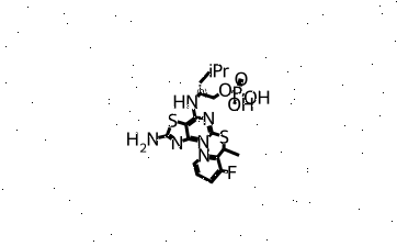 CC(C)C[C@H](COP(=O)(O)O)Nc1nc(SC(C)c2ncccc2F)nc2nc(N)sc12